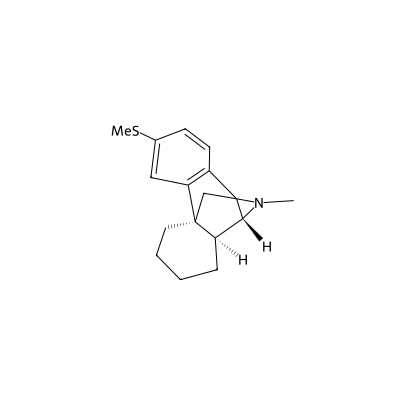 CSc1ccc2c(c1)[C@]13CCCC[C@@H]1[C@H]1N(C)C21C3